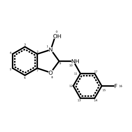 ON1c2ccccc2OC1Nc1cccc(F)c1